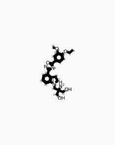 CCOc1ccc(-c2nc(-c3cccc4c3CCN4CC(N)(CO)CO)no2)cc1OC